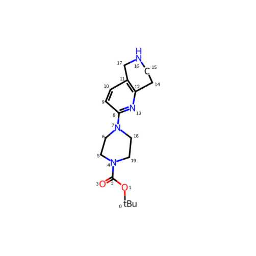 CC(C)(C)OC(=O)N1CCN(c2ccc3c(n2)CCNC3)CC1